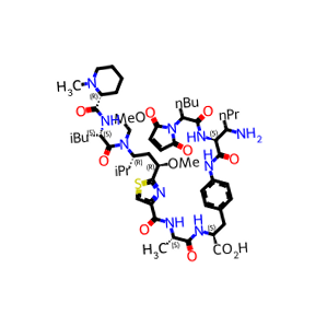 CCCCC(C(=O)N[C@H](C(=O)Nc1ccc(C[C@H](NC(=O)[C@H](C)NC(=O)c2csc([C@@H](C[C@H](C(C)C)N(COC)C(=O)[C@@H](NC(=O)[C@H]3CCCCN3C)[C@@H](C)CC)OC)n2)C(=O)O)cc1)C(N)CCC)N1C(=O)C=CC1=O